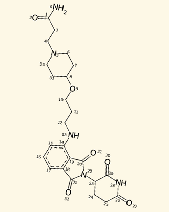 NC(=O)CCN1CCC(OCCCNc2cccc3c2C(=O)N(C2CCC(=O)NC2=O)C3=O)CC1